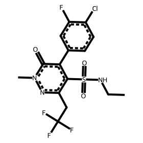 CCNS(=O)(=O)c1c(CC(F)(F)F)nn(C)c(=O)c1-c1ccc(Cl)c(F)c1